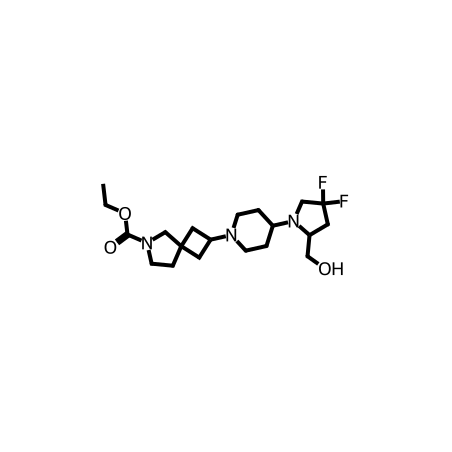 CCOC(=O)N1CCC2(CC(N3CCC(N4CC(F)(F)CC4CO)CC3)C2)C1